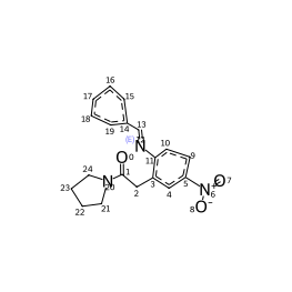 O=C(Cc1cc([N+](=O)[O-])ccc1/N=C/c1ccccc1)N1CCCC1